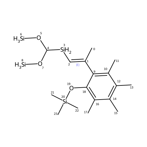 C/C(=C\[SiH2]C(O[SiH3])O[SiH3])c1c(C)c(C)c(C)c(C)c1O[Si](C)(C)C